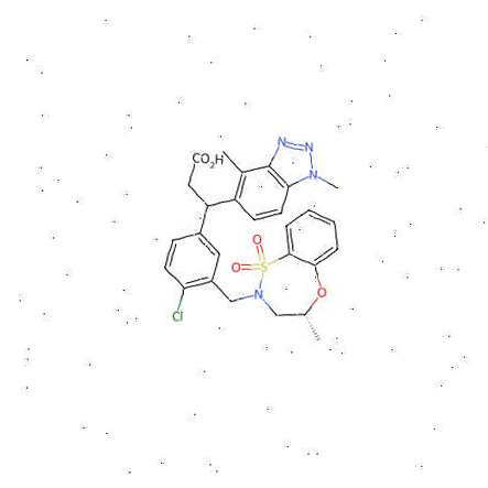 Cc1c(C(CC(=O)O)c2ccc(Cl)c(CN3C[C@@H](C)Oc4ccccc4S3(=O)=O)c2)ccc2c1nnn2C